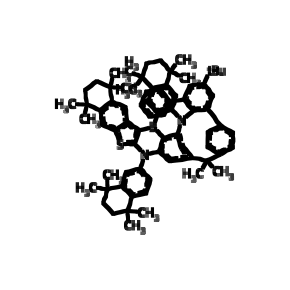 CC(C)(C)c1cc(-c2ccccc2)c2c(c1)-c1ccc(cc1)C(C)(C)c1cc3c4c(c1)N2c1cc2c(cc1B4c1c(sc4cc5c(cc14)C(C)(C)CCC5(C)C)N3c1ccc3c(c1)C(C)(C)CCC3(C)C)C(C)(C)CCC2(C)C